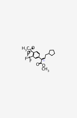 COC(=O)/C(=C/CC1CCCC1)c1ccc(S(C)(=O)=O)c(C(F)(F)F)c1